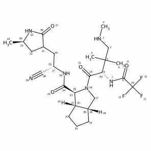 CNCC(C)(C)[C@H](NC(=O)C(F)(F)F)C(=O)N1C[C@@H]2CCC[C@@H]2[C@H]1C(=O)N[C@H](C#N)CC1C[C@@H](C)NC1=O